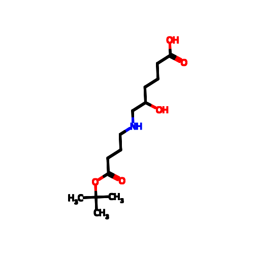 CC(C)(C)OC(=O)CCCNCC(O)CCCC(=O)O